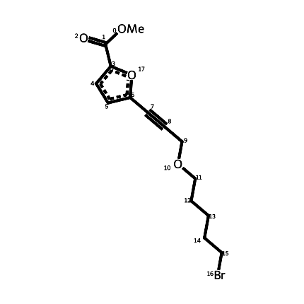 COC(=O)c1ccc(C#CCOCCCCCBr)o1